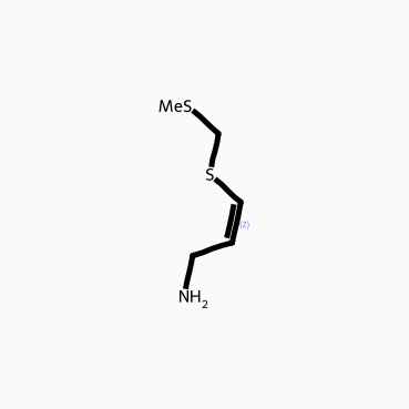 CSCS/C=C\CN